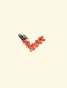 O=S(=O)([O-])[O-].O=S(=O)([O-])[O-].O=S(=O)([O-])[O-].O=S(=O)([O-])[O-].O=S(=O)([O-])[O-].O=S(=O)([O-])[O-].[Ce+3].[Ce+3].[Ce+3].[Ce+3]